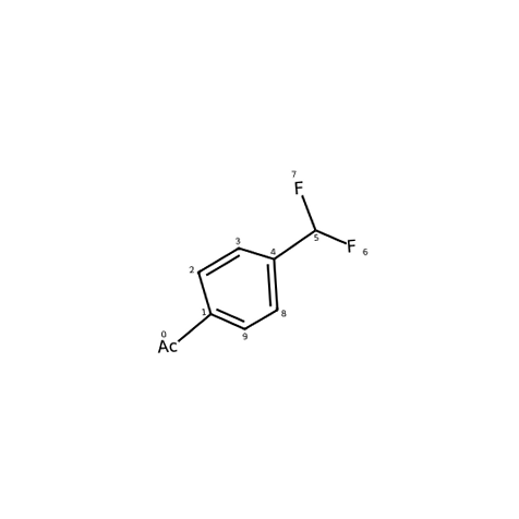 [CH2]C(=O)c1ccc(C(F)F)cc1